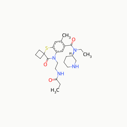 CCC(=O)NCCN1C(=O)C2(CCC2)Sc2cc(C)c(C(=O)N(CC)[C@@H]3CCCNC3)cc21